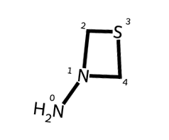 NN1CSC1